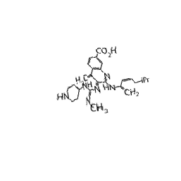 C=C(/C=C\CC(C)C)NC1=Nc2cc(C(=O)O)ccc2C(=C)/C1=N\C(=N/C)NC1CCNCC1